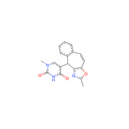 Cc1nc2c(o1)C=Cc1ccccc1C2c1cn(C)c(=O)[nH]c1=O